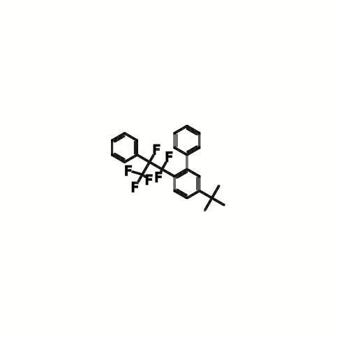 CC(C)(C)c1ccc(C(F)(F)C(F)(c2ccccc2)C(F)(F)F)c(-c2ccccc2)c1